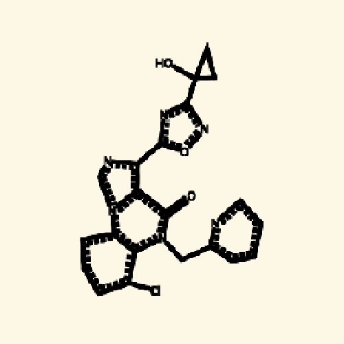 O=c1c2c(-c3nc(C4(O)CC4)no3)ncn2c2cccc(Cl)c2n1Cc1ccccn1